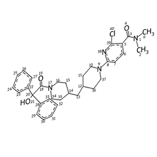 CN(C)C(=O)c1ccc(N2CCC(CC3CCN(C(=O)C(O)(c4ccccc4)c4ccccc4)CC3)CC2)nc1Cl